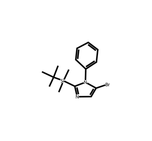 CC(C)(C)[Si](C)(C)c1ncc(Br)n1-c1ccccc1